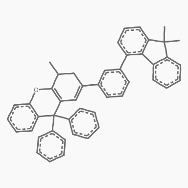 CC1CC(c2cccc(-c3cccc4c3-c3ccccc3C4(C)C)c2)=CC2=C1Oc1ccccc1C2(c1ccccc1)c1ccccc1